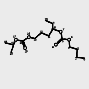 CCCCOC(=O)O[C](CC)CCCOC(=O)OC(C)C